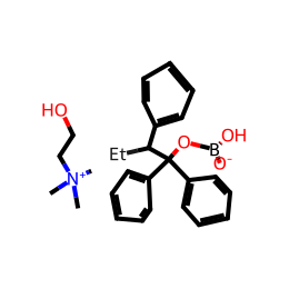 CCC(c1ccccc1)C(OB([O-])O)(c1ccccc1)c1ccccc1.C[N+](C)(C)CCO